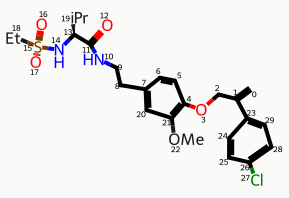 C=C(COc1ccc(CCNC(=O)[C@@H](NS(=O)(=O)CC)C(C)C)cc1OC)c1ccc(Cl)cc1